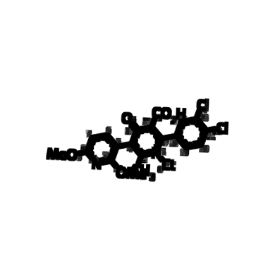 CCn1c(C)c(-c2ccc(OC)nc2OC)c(=O)c(C(=O)O)c1-c1ccc(Cl)c(Cl)c1